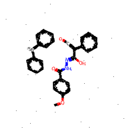 COc1ccc(C(=O)NN=C(O)C(=C=O)c2ccccc2)cc1.c1cc[c]([Sn][c]2ccccc2)cc1